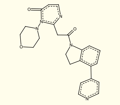 O=C(Cc1nccc(=O)n1N1CCOCC1)N1CCc2c(-c3ccncc3)cccc21